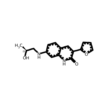 C[C@H](O)CNc1ccc2cc(-c3ccco3)c(=O)[nH]c2c1